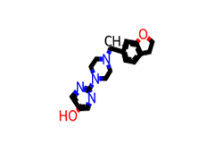 CC(c1ccc2c(c1)OCC2)N1CCN(c2ncc(O)cn2)CC1